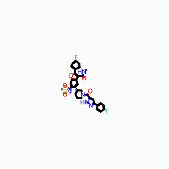 CNC(=O)c1c(-c2ccc(F)cc2)oc2cc(N(C)S(C)(=O)=O)c([C@@H]3CCCN(C(=O)c4cc(-c5ccc(F)cc5)n[nH]4)C3)cc12